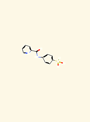 O=C(Nc1ccc(S(=O)(=O)Cl)cc1)c1ccccn1